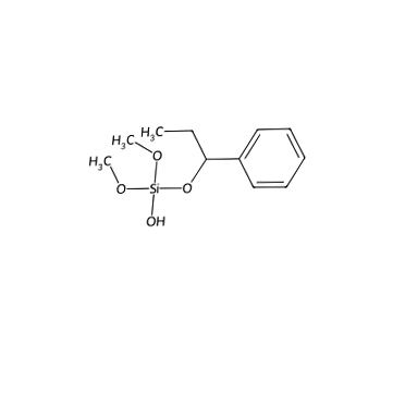 CCC(O[Si](O)(OC)OC)c1ccccc1